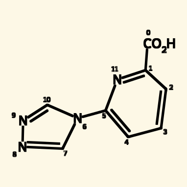 O=C(O)c1cccc(-n2cnnc2)n1